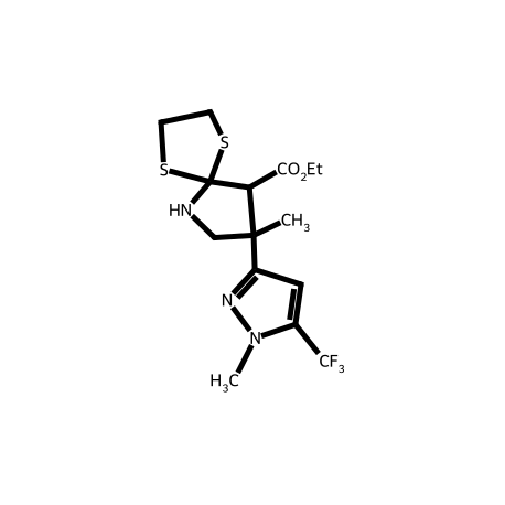 CCOC(=O)C1C2(NCC1(C)c1cc(C(F)(F)F)n(C)n1)SCCS2